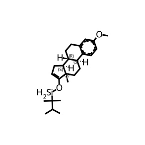 COc1ccc2c(c1)CC[C@@H]1[C@@H]2CC[C@]2(C)C(O[SiH2]C(C)(C)C(C)C)=CC[C@@H]12